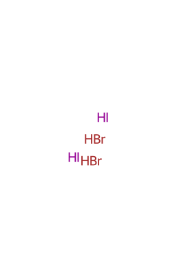 Br.Br.I.I